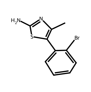 Cc1nc(N)sc1-c1ccccc1Br